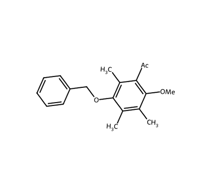 COc1c(C)c(C)c(OCc2ccccc2)c(C)c1C(C)=O